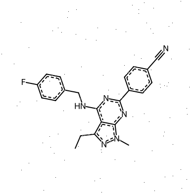 CCc1nn(C)c2nc(-c3ccc(C#N)cc3)nc(NCc3ccc(F)cc3)c12